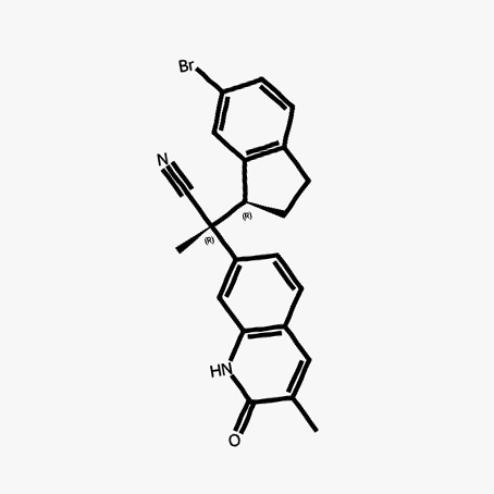 Cc1cc2ccc([C@](C)(C#N)[C@@H]3CCc4ccc(Br)cc43)cc2[nH]c1=O